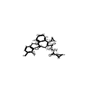 Cc1ccc(CC2C(=O)CC(C(=O)NNC(=O)C3CC3)=C(C3CC3)c3ccccc32)cc1F